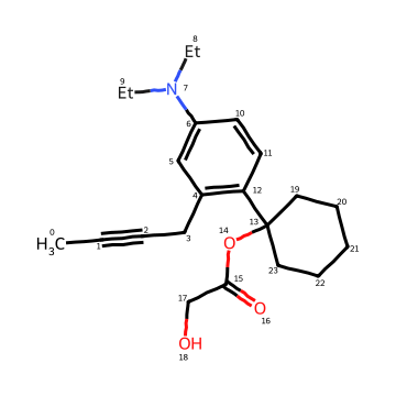 CC#CCc1cc(N(CC)CC)ccc1C1(OC(=O)CO)CCCCC1